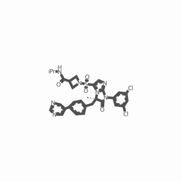 CC(C)NC(=O)C1CN(S(=O)(=O)c2cnc3n2[C@](C)(Cc2ccc(-c4cncnc4)cc2)C(=O)N3c2cc(Cl)cc(Cl)c2)C1